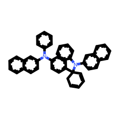 C1=CCC(c2ccc(N(c3ccccc3)c3ccc4ccccc4c3)cc2)(N(c2ccccc2)c2ccc3ccccc3c2)C=C1